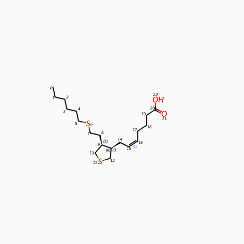 CCCCCCSCC[C@@H]1CSC[C@@H]1C/C=C\CCCC(=O)O